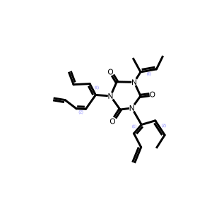 C=C/C=C\C(=C/C=C)n1c(=O)n(/C(C)=C/C)c(=O)n(C(/C=C\C)=C/C=C)c1=O